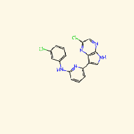 Clc1cccc(Nc2cccc(-c3c[nH]c4ncc(Cl)nc34)n2)c1